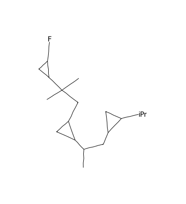 CC(C)C1CC1CC(C)C1CC1CC(C)(C)C1CC1F